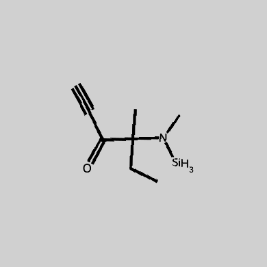 C#CC(=O)C(C)(CC)N(C)[SiH3]